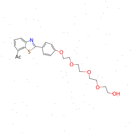 CC(=O)c1cccc2nc(-c3ccc(OCCOCCOCCOCCO)cc3)sc12